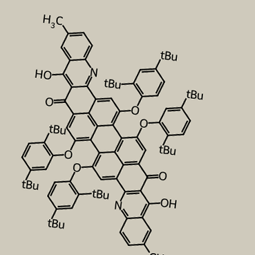 Cc1ccc2nc3c(c(O)c2c1)C(=O)c1cc(Oc2cc(C(C)(C)C)ccc2C(C)(C)C)c2c4c(Oc5ccc(C(C)(C)C)cc5C(C)(C)C)cc5c6c(cc(Oc7cc(C(C)(C)C)ccc7C(C)(C)C)c(c7c(Oc8ccc(C(C)(C)C)cc8C(C)(C)C)cc-3c1c27)c64)C(=O)c1c-5nc2ccc(C)cc2c1O